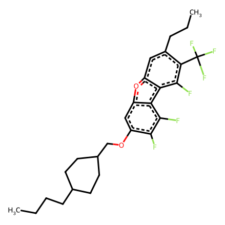 CCCCC1CCC(COc2cc3oc4cc(CCC)c(C(F)(F)F)c(F)c4c3c(F)c2F)CC1